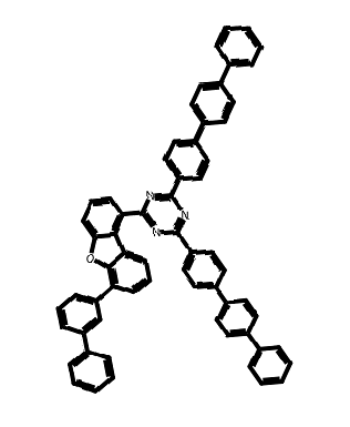 c1ccc(-c2ccc(-c3ccc(-c4nc(-c5ccc(-c6ccc(-c7ccccc7)cc6)cc5)nc(-c5cccc6oc7c(-c8cccc(-c9ccccc9)c8)cccc7c56)n4)cc3)cc2)cc1